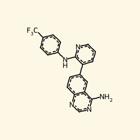 Nc1ncnc2ccc(-c3cccnc3Nc3ccc(C(F)(F)F)cc3)cc12